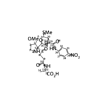 COC1CCN[C@]1(C(=O)CCC(=O)N[C@@H](C)C(=O)O)C(=O)N[C@@H](CCSC)C(=O)Nc1ccc([N+](=O)[O-])cc1